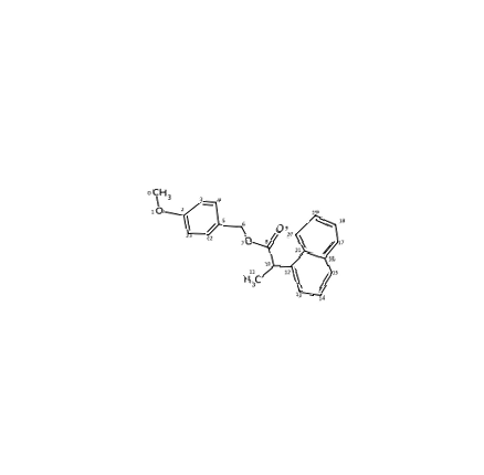 COc1ccc(COC(=O)C(C)c2cccc3ccccc23)cc1